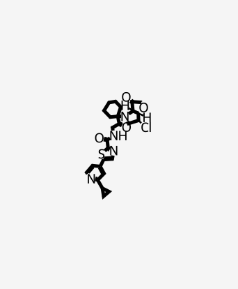 O=C(NCC(=O)C1(N2C[C@H](Cl)[C@H]3OCC(=O)[C@H]32)CCCCC1)c1ncc(-c2ccnc(C3CC3)c2)s1